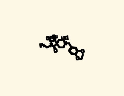 CCCCN1C(=O)N(CC(C)C)C(=O)C12CCN(Cc1ccc3c(c1)OCCO3)CC2.Cl